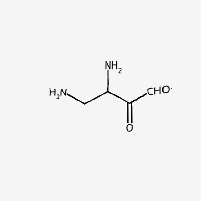 NCC(N)C(=O)[C]=O